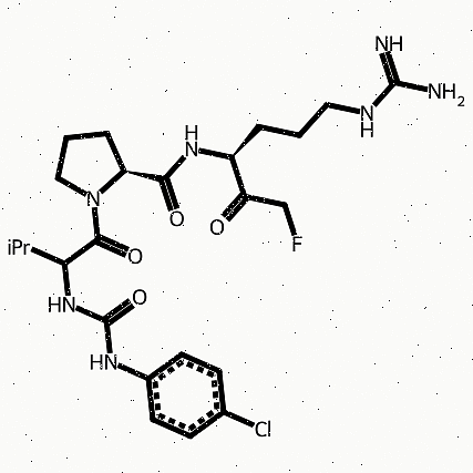 CC(C)C(NC(=O)Nc1ccc(Cl)cc1)C(=O)N1CCC[C@H]1C(=O)N[C@@H](CCCNC(=N)N)C(=O)CF